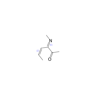 C/C=C\C(=N/C)C(C)=O